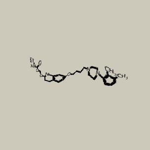 CCNC(=O)OCOC1=Nc2cc(OCCCCN3CCN(c4cccc(C)c4C)CC3)ccc2CC1